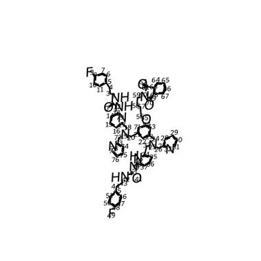 O=C(NCCc1ccc(F)cc1)Nc1cccc(CN(Cc2cc(CN(Cc3ccccn3)Cc3cccc(NC(=O)NCCc4ccc(F)cc4)n3)cc(OCCCCN3C(=O)c4ccccc4C3=O)c2)Cc2ccccn2)n1